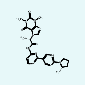 C[C@@H](C(=O)Nc1ccnc(-c2cnc(N3CCC[C@@H]3C(F)(F)F)nc2)n1)n1cnc2c1c(=O)n(C)c(=O)n2C